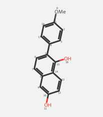 COc1ccc(-c2ccc3cc(O)ccc3c2O)cc1